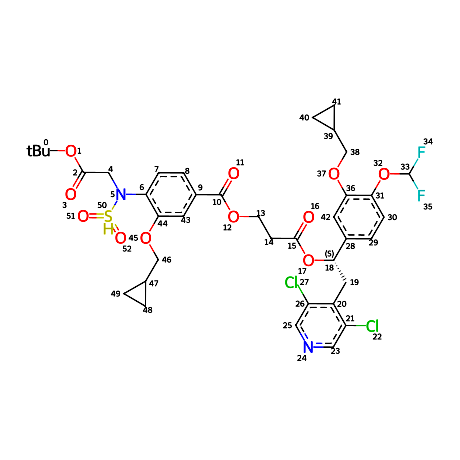 CC(C)(C)OC(=O)CN(c1ccc(C(=O)OCCC(=O)O[C@@H](Cc2c(Cl)cncc2Cl)c2ccc(OC(F)F)c(OCC3CC3)c2)cc1OCC1CC1)[SH](=O)=O